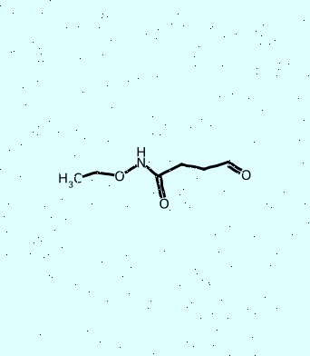 CCONC(=O)CCC=O